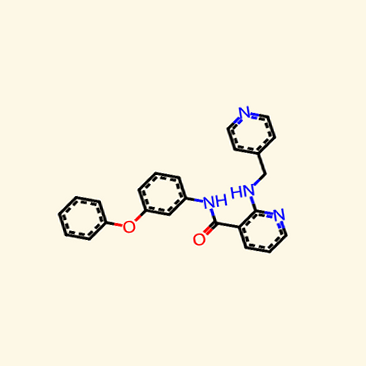 O=C(Nc1cccc(Oc2ccccc2)c1)c1cccnc1NCc1ccncc1